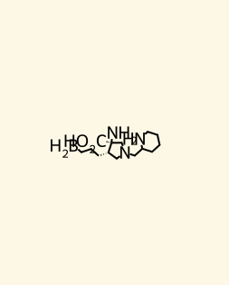 BCCC[C@H]1CN(CC2CCCCN2)C[C@@]1(N)C(=O)O